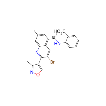 Cc1cc([C@H](C)Nc2ccccc2C(=O)O)c2cc(Br)c(-c3conc3C)nc2c1